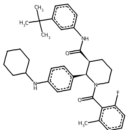 Cc1cccc(F)c1C(=O)N1CCC[C@H](C(=O)Nc2cccc(C(C)(C)C)c2)[C@@H]1c1ccc(NC2CCCCC2)cc1